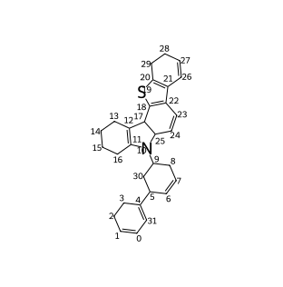 C1=CCCC(C2C=CCC(N3C4=C(CCCC4)C4c5sc6c(c5C=CC43)C=CCC6)C2)=C1